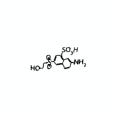 Nc1ccc2cc(S(=O)(=O)CCO)cc(S(=O)(=O)O)c2c1